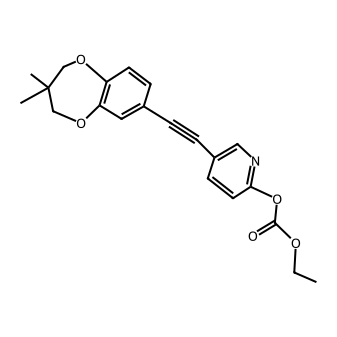 CCOC(=O)Oc1ccc(C#Cc2ccc3c(c2)OCC(C)(C)CO3)cn1